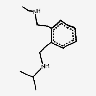 CNCc1ccccc1CNC(C)C